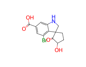 O=C(O)c1cc(Br)c2c(c1)NCC21CCC(O)C1=O